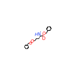 CN[C@H](CCCOOCc1ccccc1)C(=O)OCc1ccccc1